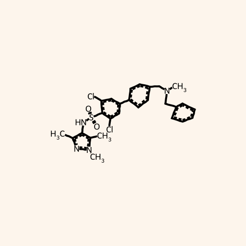 Cc1nn(C)c(C)c1NS(=O)(=O)c1c(Cl)cc(-c2ccc(CN(C)Cc3ccccc3)cc2)cc1Cl